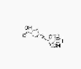 O=C(O)c1ccc(SCC2OC3OCCCCC2C(O)C3O)cc1